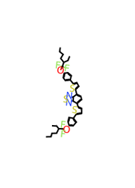 CCCCC(CC)C(F)(F)Oc1ccc(-c2ccc(-c3ccc(-c4ccc(-c5ccc(OC(F)(F)C(CC)CCCC)cc5)s4)c4nsnc34)s2)cc1